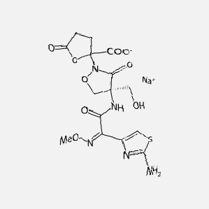 CO/N=C(\C(=O)N[C@@]1(CO)CON(C2(C(=O)[O-])CCC(=O)O2)C1=O)c1csc(N)n1.[Na+]